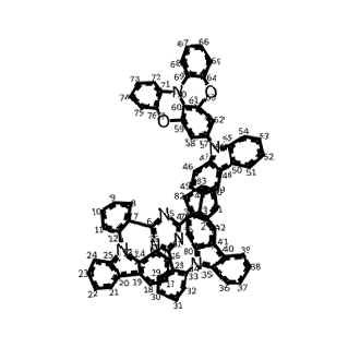 c1ccc(-c2nc(-c3ccccc3-n3c4ccccc4c4ccccc43)nc(-c3ccccc3-n3c4ccccc4c4cc(-c5ccc6c(c5)c5ccccc5n6-c5cc6c7c(c5)Oc5ccccc5N7c5ccccc5O6)ccc43)n2)cc1